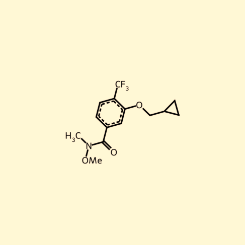 CON(C)C(=O)c1ccc(C(F)(F)F)c(OCC2CC2)c1